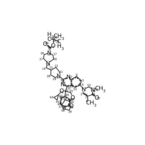 CC1=CN(c2ccc3nc(N4CCC(CN5CCN(C(=O)OC(C)(C)C)CC5)CC4)nc(C(COC4CCCCO4)(OC4CC4)c4ccccc4)c3c2)CN(C)C1=O